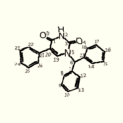 O=c1[nH]c(=O)n(C(c2ccccc2)c2ccccc2)cc1-c1ccccc1